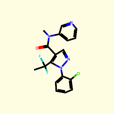 CN(C(=O)c1cnn(-c2ccccc2Cl)c1C(C)(F)F)c1cccnc1